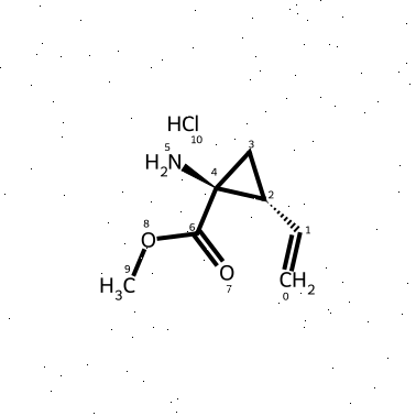 C=C[C@H]1C[C@@]1(N)C(=O)OC.Cl